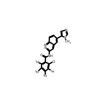 [2H]c1c([2H])c([2H])c(C(=O)Nc2cc3cc(-c4cncn4C)ccc3nn2)c(Cl)c1[2H]